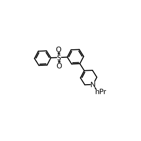 CCCN1CC=C(c2cccc(S(=O)(=O)c3ccccc3)c2)CC1